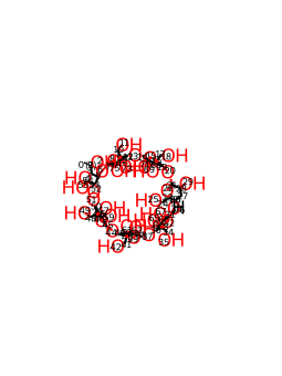 C[C@@H](O)C(O)C1OC2OC(CO)C(OC3OC(CO)C(OC4OC(CO)[C@H](CC4O)OC4OC(CO)C(OC5OC(CO)C(OC6OC(CO)C(OOC1CO)C(O)C6O)C(O)C5O)C(O)C4O)C(O)C3O)C(O)C2O